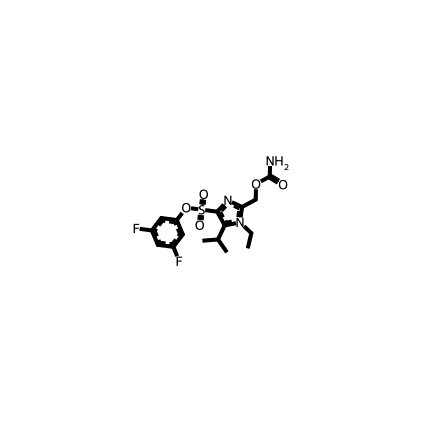 CCn1c(COC(N)=O)nc(S(=O)(=O)Oc2cc(F)cc(F)c2)c1C(C)C